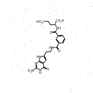 Nc1nc2[nH]c(CCNC(=O)c3cccc(C(=O)N[C@@H](CCC(=O)O)C(=O)O)c3)cc2c(=O)[nH]1